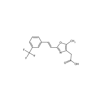 Cc1oc(C=Cc2cccc(C(F)(F)F)c2)nc1CC(=O)O